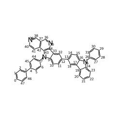 c1ccc(-c2ccc(-n3c4ccc(-c5ccc6c(c5)c5ccccc5n6-c5ccccc5)cc4c4ncc5cnccc5c43)cc2)cc1